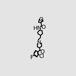 O=C(NC1CCC(CCN2CCC(C(=O)c3ccc(F)cc3Cl)CC2)CC1)C1CCOC1